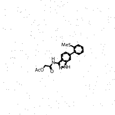 CSc1ccccc1-c1ccc2c(NC(=O)COC(C)=O)n[nH]c2c1